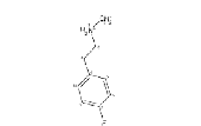 [CH2-][NH2+]CCc1ccc(F)cc1